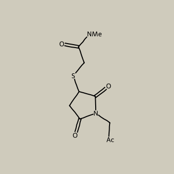 CNC(=O)CSC1CC(=O)N(CC(C)=O)C1=O